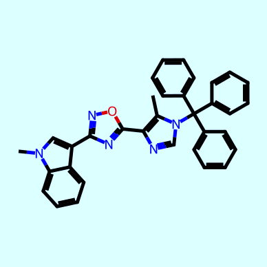 Cc1c(-c2nc(-c3cn(C)c4ccccc34)no2)ncn1C(c1ccccc1)(c1ccccc1)c1ccccc1